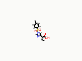 CCC(C(=O)O)c1cn(S(=O)(=O)c2ccc(C)cc2)cn1